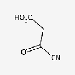 N#CC(=O)CC(=O)O